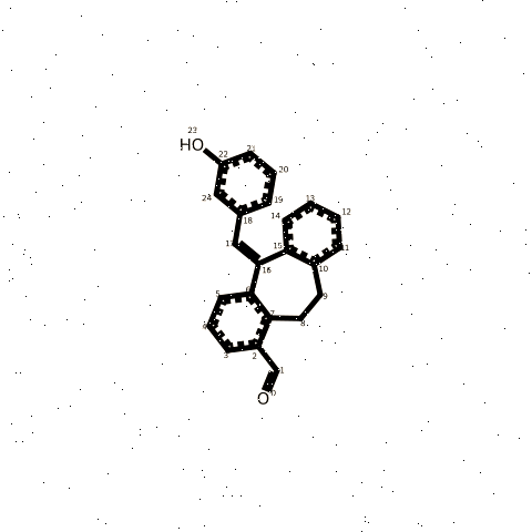 O=Cc1cccc2c1CCc1ccccc1/C2=C\c1cccc(O)c1